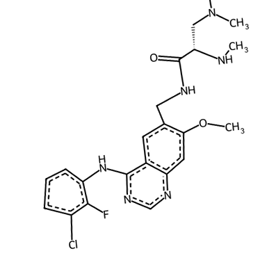 CN[C@@H](CN(C)C)C(=O)NCc1cc2c(Nc3cccc(Cl)c3F)ncnc2cc1OC